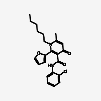 CCCCCCn1c(C)cc(=O)c(C(=O)Nc2ccccc2Cl)c1-c1ccco1